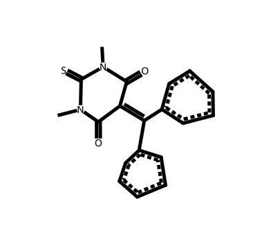 CN1C(=O)C(=C(c2ccccc2)c2ccccc2)C(=O)N(C)C1=S